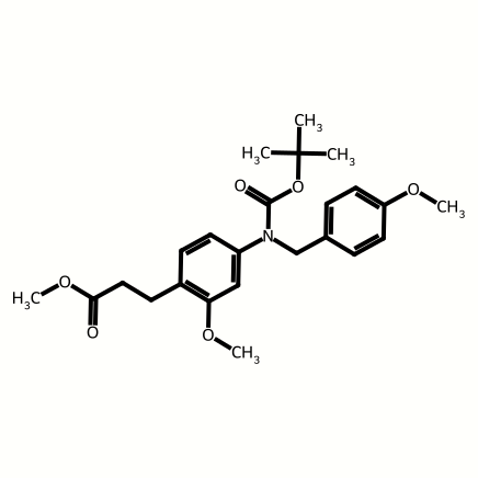 COC(=O)CCc1ccc(N(Cc2ccc(OC)cc2)C(=O)OC(C)(C)C)cc1OC